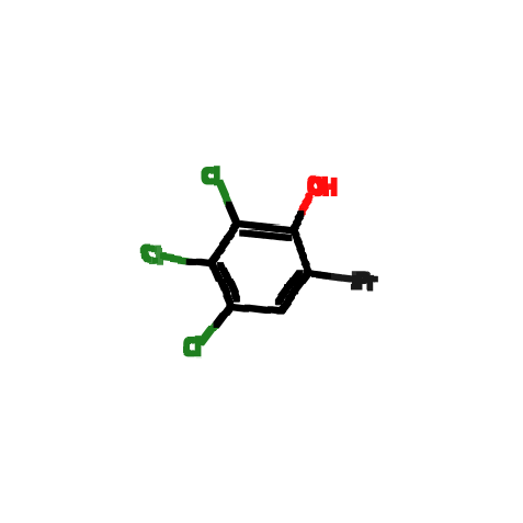 CC(C)c1cc(Cl)c(Cl)c(Cl)c1O